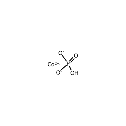 O=P([O-])([O-])O.[Co+2]